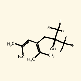 CC(C)=CC(CC(O)(C(F)(F)F)C(F)(F)F)=C(C)C